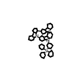 c1ccc([Si](c2ccccc2)(c2ccccc2)c2cccc(-n3c4ccccc4c4cc(-n5c6ccccc6c6cccc(-c7ccc8sc9ccccc9c8c7)c65)ccc43)c2)cc1